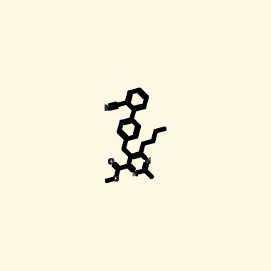 CCCCc1nc(C)nc(C(=O)OC)c1Cc1ccc(-c2ccccc2C#N)cc1